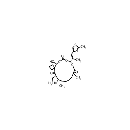 CC[C@H]1C(=O)C2(CCC2)[C@@H](O)CC(=O)O[C@H](C(C)=Cc2csc(C)n2)CC2OC2(C)CCC[C@H](C)[C@H]1O